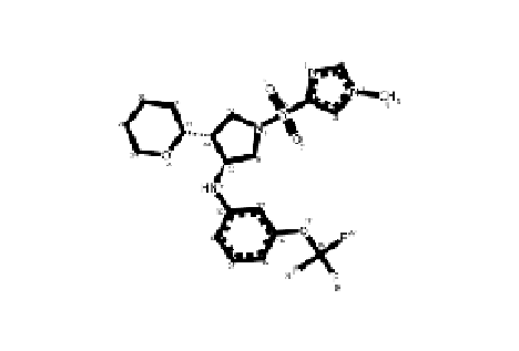 Cn1cnc(S(=O)(=O)N2C[C@@H](Nc3cccc(OC(F)(F)F)c3)[C@H](C3CCCCO3)C2)c1